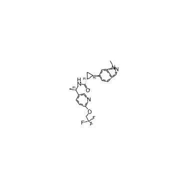 C[C@@H](NC(=O)[C@@H]1C[C@H]1c1ccc2cnn(C)c2c1)c1ccc(OCC(F)(F)F)nc1